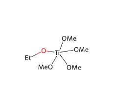 CC[O][Ti]([O]C)([O]C)([O]C)[O]C